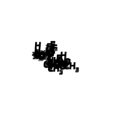 CC(C(=O)NCc1ccc(C(F)(F)F)nc1-c1ccc2cc[nH]c2c1)c1ccc(NS(C)(=O)=O)c(F)c1